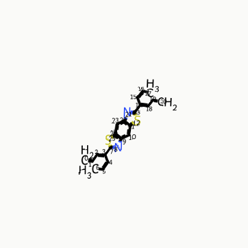 C=C/C=C(\C=C/C)c1nc2cc3sc(C(/C=C\C)=C/C=C)nc3cc2s1